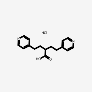 Cl.O=C(O)C(CCc1ccncc1)CCc1ccncc1